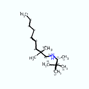 CCCCCCCC(C)(C)CN[C@H](C)C(C)(C)C